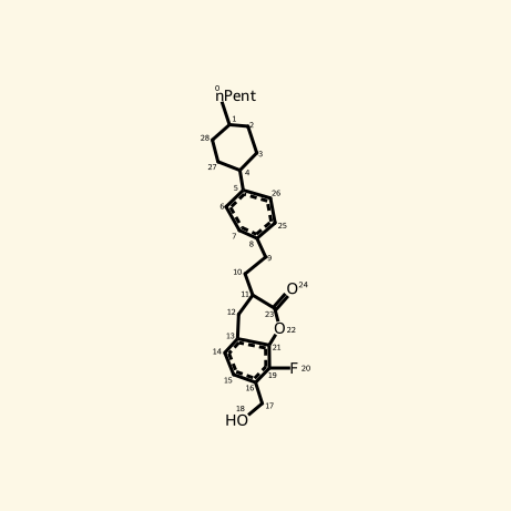 CCCCCC1CCC(c2ccc(CCC3Cc4ccc(CO)c(F)c4OC3=O)cc2)CC1